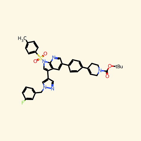 Cc1ccc(S(=O)(=O)n2cc(-c3cnn(Cc4cccc(F)c4)c3)c3cc(-c4ccc(C5=CCN(C(=O)OC(C)(C)C)CC5)cc4)cnc32)cc1